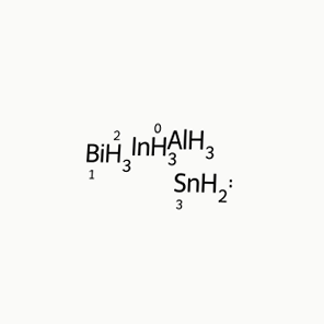 [AlH3].[BiH3].[InH3].[SnH2]